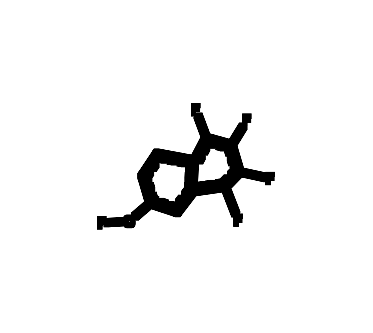 FOc1ccc2c(F)c(F)c(F)c(F)c2c1